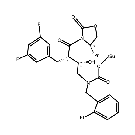 CCc1ccccc1CN(C[C@@H](O)[C@H](Cc1cc(F)cc(F)c1)C(=O)N1C(=O)OC[C@@H]1C(C)C)C(=O)OC(C)(C)C